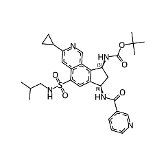 CC(C)CNS(=O)(=O)c1cc2c(c3cnc(C4CC4)cc13)[C@@H](NC(=O)OC(C)(C)C)C[C@H]2NC(=O)c1cccnc1